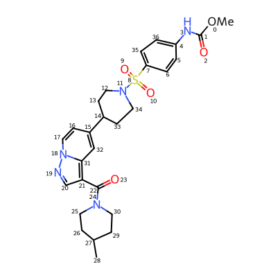 COC(=O)Nc1ccc(S(=O)(=O)N2CCC(c3ccn4ncc(C(=O)N5CCC(C)CC5)c4c3)CC2)cc1